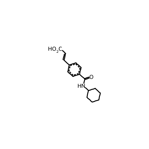 O=C(O)C=Cc1ccc(C(=O)NC2CCCCC2)cc1